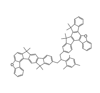 Cc1cc(C)c(C(Cc2ccc3c(c2)C(C)(C)c2cc4c(cc2-3)C(C)(C)c2ccc3oc5ccccc5c3c2-4)Cc2ccc3c(c2)C(C)(C)c2c4c(c5oc6ccccc6c5c2-3)-c2ccccc2C4(C)C)c(C)c1